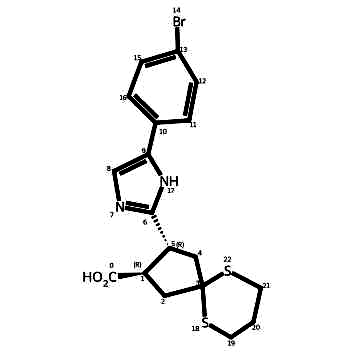 O=C(O)[C@@H]1CC2(C[C@H]1c1ncc(-c3ccc(Br)cc3)[nH]1)SCCCS2